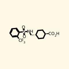 O=C(O)[C@H]1CC[C@H](CNS(=O)(=O)c2ccccc2C(F)(F)F)CC1